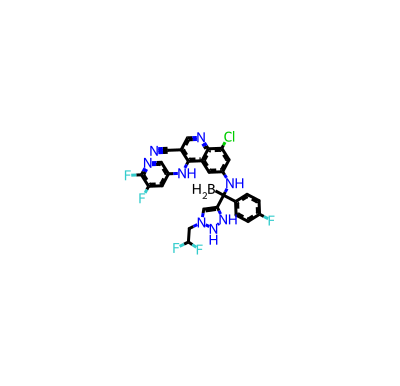 BC(Nc1cc(Cl)c2ncc(C#N)c(Nc3cnc(F)c(F)c3)c2c1)(C1=CN(CC(F)F)NN1)c1ccc(F)cc1